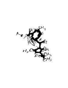 CCC(c1cc(C)cc(C(C)(C)CC)c1O)c1cc(C)cc(C(C)(C)CC)c1O